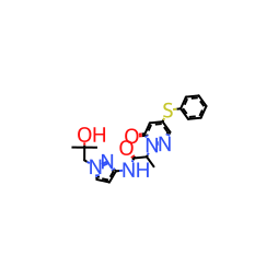 CC(C(=O)Nc1ccn(CC(C)(C)O)n1)n1ncc(Sc2ccccc2)cc1=O